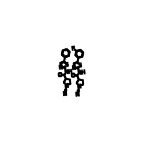 N#CN1CCC(C(=O)Nc2ncc(-c3cccc(F)c3)s2)C1.N#CN1CCC(C(=O)Nc2ncc(-c3ccccc3)s2)C1